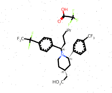 CC(C)CC[C@H](c1ccc(C(F)(F)C(F)(F)F)cc1)N1CC[C@@H](CC(=O)O)C[C@H]1c1ccc(C(F)(F)F)cc1.O=C(O)C(F)(F)F